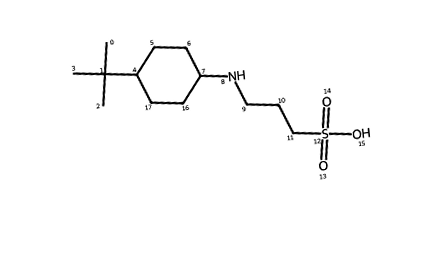 CC(C)(C)C1CCC(NCCCS(=O)(=O)O)CC1